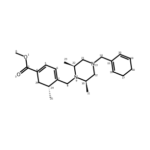 COC(=O)C1=CC=C(CN2[C@H](C)CN(CC3=CCCC=C3)C[C@@H]2C)[C@H](C)C1